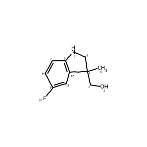 CC1(CO)CNc2ccc(F)cc21